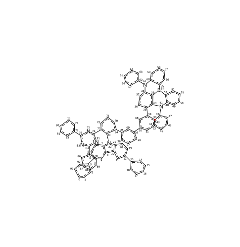 c1ccc(-c2ccc3c(c2)c2cc(-c4ccccc4)ccc2n3-c2c(-c3cccc(-c4cccc(-c5ccc6c7c5N(c5ccccc5)c5ccccc5B7c5ccccc5N6c5ccccc5)c4)c3)cccc2-c2nc(-c3ccccc3)nc(-c3ccccc3)n2)cc1